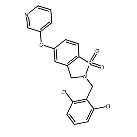 O=S1(=O)c2ccc(Oc3cccnc3)cc2CN1Cc1c(Cl)cccc1Cl